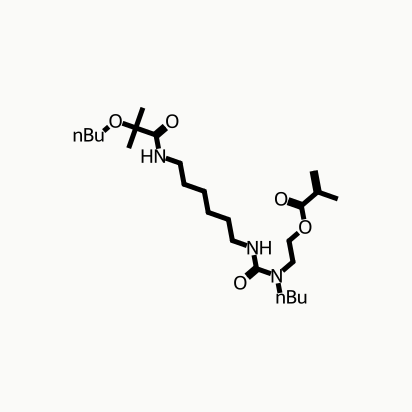 C=C(C)C(=O)OCCN(CCCC)C(=O)NCCCCCCNC(=O)C(C)(C)OCCCC